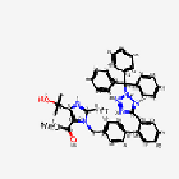 CCCc1nc(C(C)(C)O)c(C(=O)OC)n1Cc1ccc(-c2ccccc2-c2nnn(C(c3ccccc3)(c3ccccc3)c3ccccc3)n2)cc1